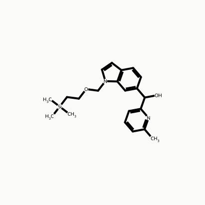 Cc1cccc(C(O)c2ccc3ccn(COCC[Si](C)(C)C)c3c2)n1